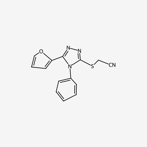 N#CCSc1nnc(-c2ccco2)n1-c1ccccc1